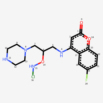 O=c1cc(NCC(CN2CCNCC2)ONCl)c2cc(F)ccc2o1